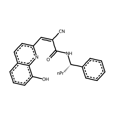 CCC[C@H](NC(=O)C(C#N)=Cc1ccc2cccc(O)c2n1)c1ccccc1